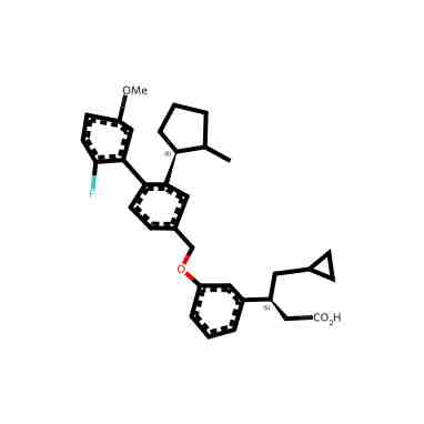 COc1ccc(F)c(-c2ccc(COc3cccc([C@H](CC(=O)O)CC4CC4)c3)cc2[C@H]2CCCC2C)c1